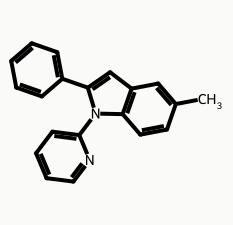 Cc1ccc2c(c1)cc(-c1ccccc1)n2-c1ccccn1